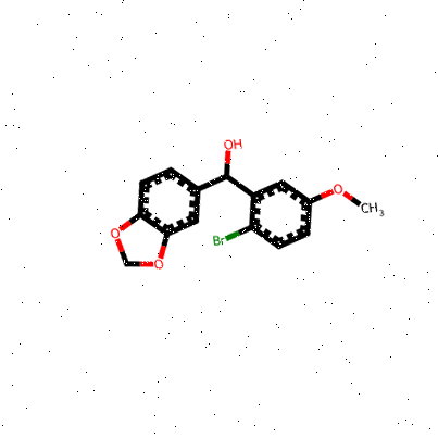 COc1ccc(Br)c(C(O)c2ccc3c(c2)OCO3)c1